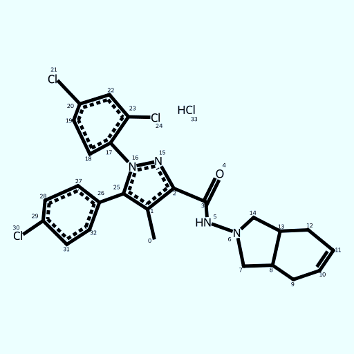 Cc1c(C(=O)NN2CC3CC=CCC3C2)nn(-c2ccc(Cl)cc2Cl)c1-c1ccc(Cl)cc1.Cl